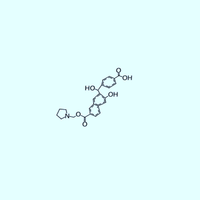 O=C(O)c1ccc(C(O)c2cc3cc(C(=O)OCN4CCCC4)ccc3cc2O)cc1